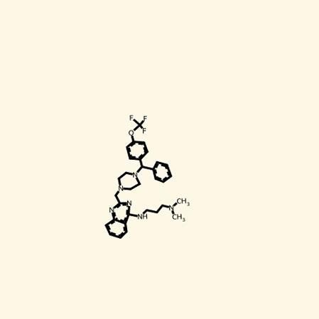 CN(C)CCCNc1nc(CN2CCN(C(c3ccccc3)c3ccc(OC(F)(F)F)cc3)CC2)nc2ccccc12